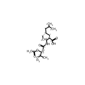 CC[C@H](CC(C)C)C[C@H](CNC(=O)O[C@@H](OC(C)=O)C(C)C)C(=O)O